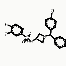 O=S(=O)(NC1CN(C(c2ccc(Cl)cc2)c2ccc(Cl)cc2)C1)c1ccc(F)c(F)c1